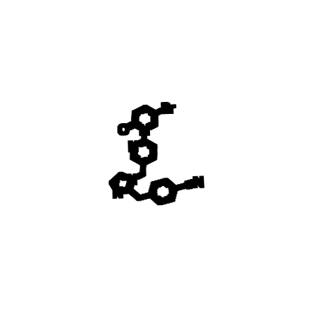 N#Cc1ccc(Cc2nccn2Cc2ccc(-n3cc(Br)ccc3=O)nc2)cc1